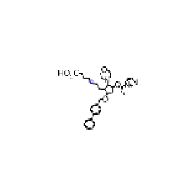 O=C(O)CC/C=C/CCC1C(OCc2ccc(-c3ccccc3)cc2)CC(OC(=S)n2ccnc2)C1N1CCOCC1